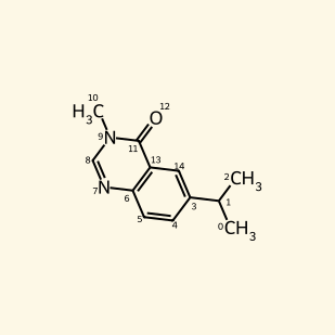 CC(C)c1ccc2ncn(C)c(=O)c2c1